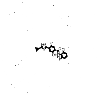 O=C(Nc1c(F)cccc1Cl)c1cc(F)c(-c2nc(C3CC3)ns2)cc1O